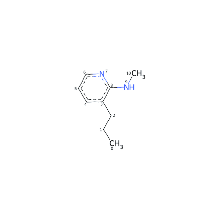 CCCc1cccnc1NC